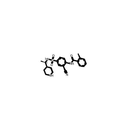 Cc1ccccc1C(=O)Nc1ccc(S(=O)(=O)N[C@H](C)C2CCNCC2)cc1C#N